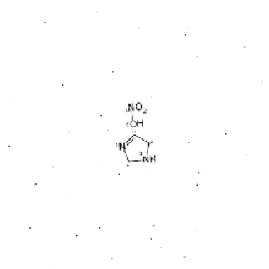 C1=NCNC1.O=[N+]([O-])O